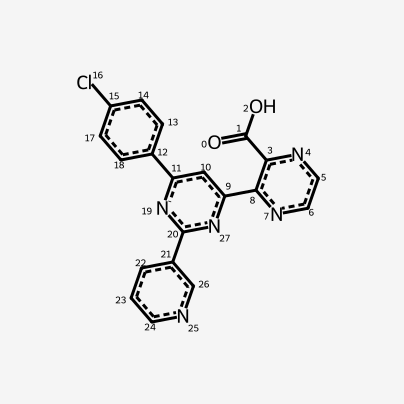 O=C(O)c1nccnc1-c1cc(-c2ccc(Cl)cc2)nc(-c2cccnc2)n1